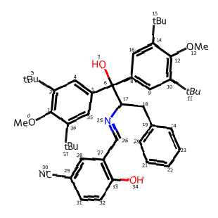 COc1c(C(C)(C)C)cc(C(O)(c2cc(C(C)(C)C)c(OC)c(C(C)(C)C)c2)C(Cc2ccccc2)N=Cc2cc(C#N)ccc2O)cc1C(C)(C)C